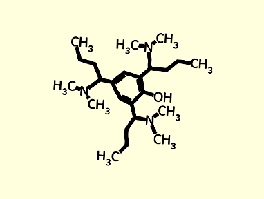 CCCC(c1cc(C(CCC)N(C)C)c(O)c(C(CCC)N(C)C)c1)N(C)C